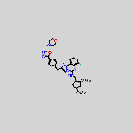 COc1ccc(CNc2nc3c(F)cccc3c3nc(Cc4ccc(-c5nnc(CN6CCOCC6)o5)cc4)cn23)c(OC)c1